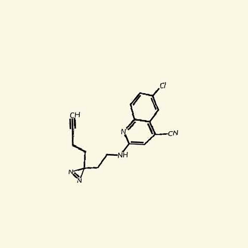 C#CCCC1(CCNc2cc(C#N)c3cc(Cl)ccc3n2)N=N1